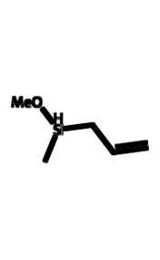 C=CC[SiH](C)OC